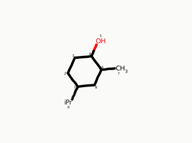 CC(C)C1CCC(O)C(C)C1